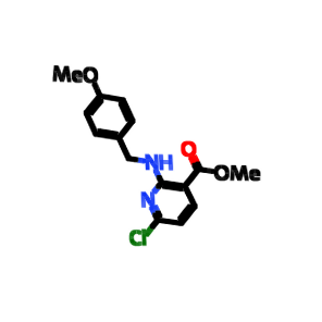 COC(=O)c1ccc(Cl)nc1NCc1ccc(OC)cc1